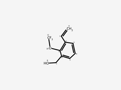 C=Cc1cccc(CO)c1OC(F)(F)F